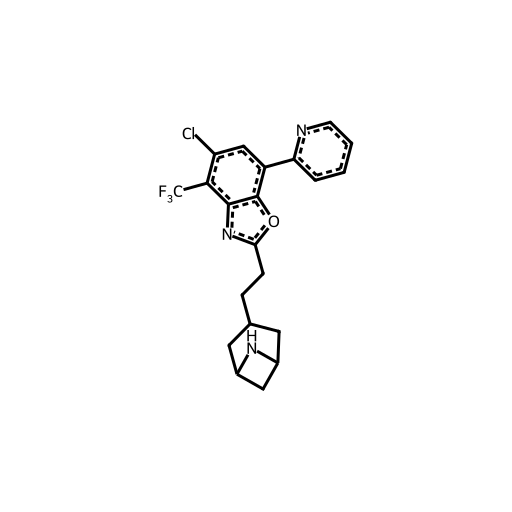 FC(F)(F)c1c(Cl)cc(-c2ccccn2)c2oc(CCC3CC4CC(C3)N4)nc12